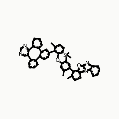 Cc1cc2c(cc1-c1c(C)ccc3c1oc1nc4ccccc4n13)[Si](C)(C)c1ccc(C)c(-c3ccc4c(c3)-c3ccccc3-c3ncncc3-c3ccccc3-4)c1O2